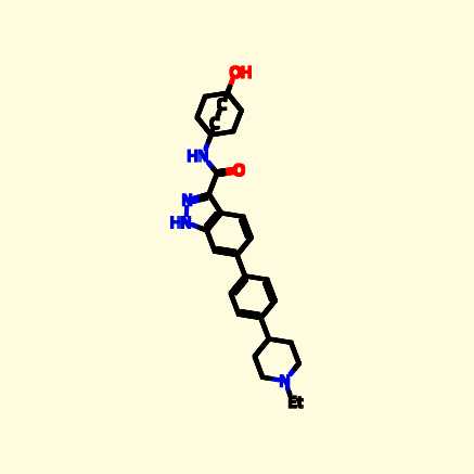 CCN1CCC(c2ccc(-c3ccc4c(C(=O)NC56CCC(O)(CC5)CC6)n[nH]c4c3)cc2)CC1